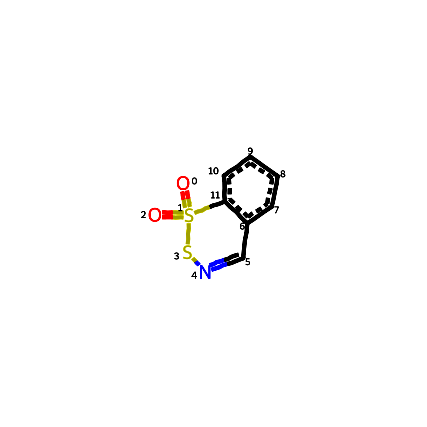 O=S1(=O)SN=Cc2ccccc21